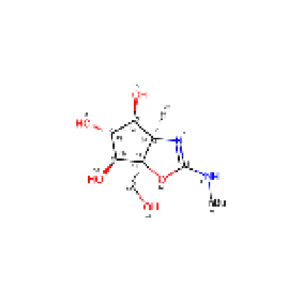 CCCCNC1=N[C@@H]2[C@H](O)[C@@H](O)[C@H](O)[C@]2(CO)O1